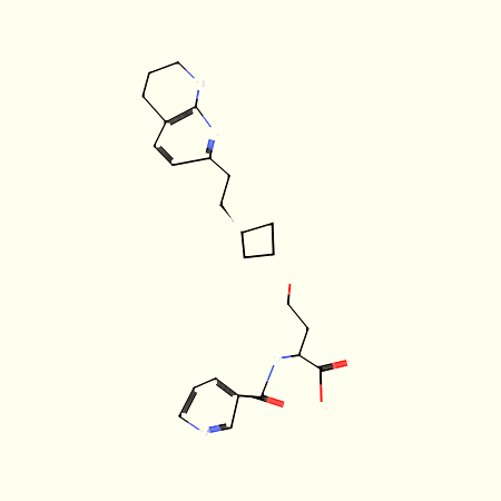 O=C(NC(CCO[C@H]1C[C@H](CCc2ccc3c(n2)NCCC3)C1)C(=O)O)c1cccnc1